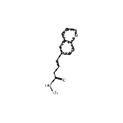 CC(C)(C)NC(=O)C/C=C/c1ccc2ncccc2c1